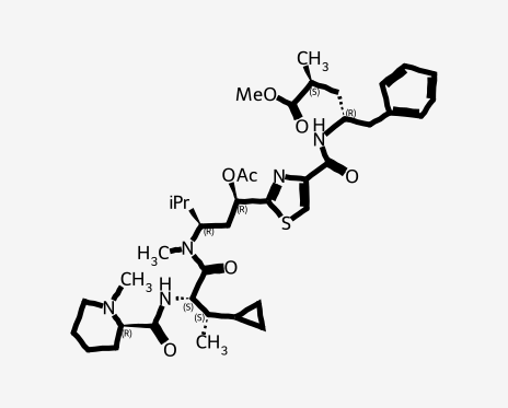 COC(=O)[C@@H](C)C[C@H](Cc1ccccc1)NC(=O)c1csc([C@@H](C[C@H](C(C)C)N(C)C(=O)[C@@H](NC(=O)[C@H]2CCCCN2C)[C@@H](C)C2CC2)OC(C)=O)n1